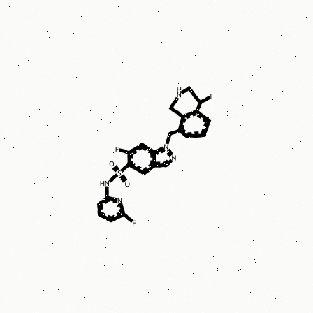 O=S(=O)(Nc1cccc(F)n1)c1cc2cnn(Cc3cccc4c3CNCC4F)c2cc1F